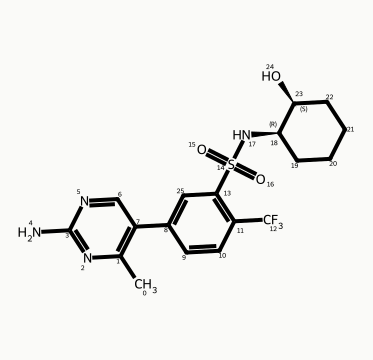 Cc1nc(N)ncc1-c1ccc(C(F)(F)F)c(S(=O)(=O)N[C@@H]2CCCC[C@@H]2O)c1